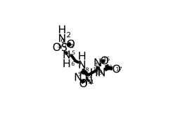 NS(=O)(=O)NCCNc1nonc1-c1noc(=O)[nH]1